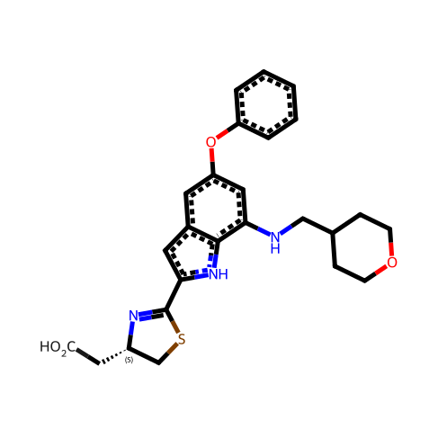 O=C(O)C[C@H]1CSC(c2cc3cc(Oc4ccccc4)cc(NCC4CCOCC4)c3[nH]2)=N1